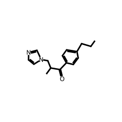 CCCc1ccc(C(=O)C(C)Cn2ccnc2)cc1